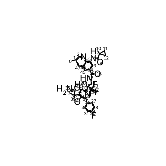 Cc1cnc2c(NC(=O)C3(C)CC3)cc(C(=O)NCC(O)(c3cc4c(c(-c5ccc(F)cc5)n3)OC[C@]4(C)C(N)=O)C(F)(F)F)cc2c1